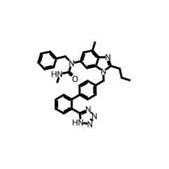 CCCc1nc2c(C)cc(N(Cc3ccccc3)C(=O)NC)cc2n1Cc1ccc(-c2ccccc2-c2nnn[nH]2)cc1